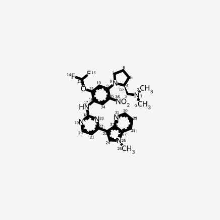 CN(C)C[C@@H]1CCCN1c1cc(OC(F)F)c(Nc2nccc(-c3cn(C)c4cccnc34)n2)cc1[N+](=O)[O-]